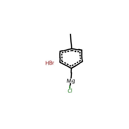 Br.Cc1cc[c]([Mg][Cl])cc1